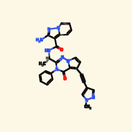 C[C@H](NC(=O)c1c(N)nn2ccccc12)c1nn2ccc(C#Cc3cnn(C)c3)c2c(=O)n1-c1ccccc1